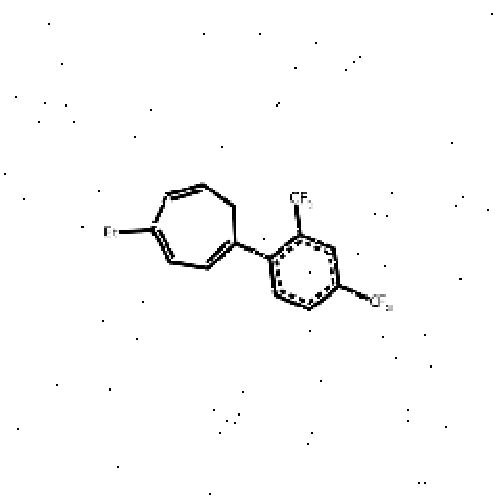 CCC1=CC=C(c2ccc(C(F)(F)F)cc2C(F)(F)F)CC=C1